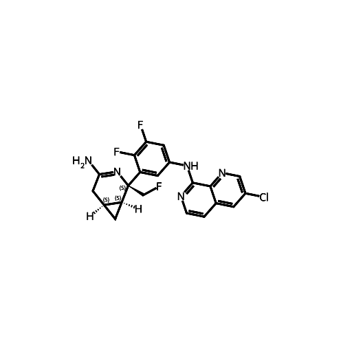 NC1=N[C@](CF)(c2cc(Nc3nccc4cc(Cl)cnc34)cc(F)c2F)[C@H]2C[C@H]2C1